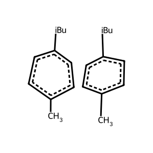 CCC(C)c1ccc(C)cc1.CCC(C)c1ccc(C)cc1